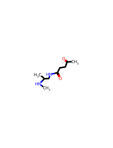 CNC(C)CNC(=O)CCC(C)=O